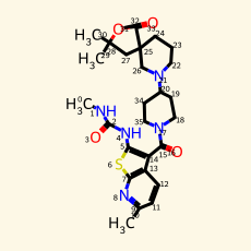 CNC(=O)Nc1sc2nc(C)ccc2c1C(=O)N1CCC(N2CCCC3(C2)CC(C)(C)OC3=O)CC1